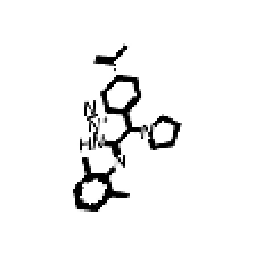 C=C(C)[C@@H]1CC=C(C(/C(=N/c2c(C)cccc2C)N[N+]#N)N2CCCC2)CC1